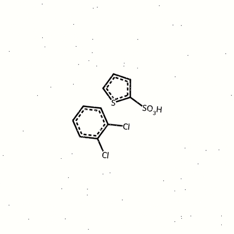 Clc1ccccc1Cl.O=S(=O)(O)c1cccs1